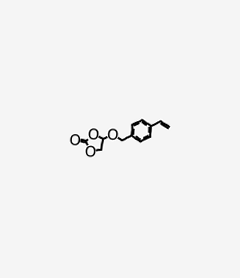 C=Cc1ccc(COC2COC(=O)O2)cc1